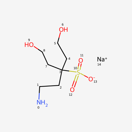 NCCC(CCO)(CCO)S(=O)(=O)[O-].[Na+]